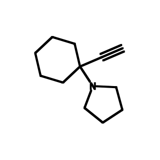 C#CC1(N2CCCC2)CCCCC1